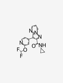 O=C(NC1CC1)c1nn2cccnc2c1-c1ccnc(OC(F)F)c1